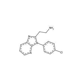 NCCc1nc2cccnc2n1-c1ccc(Cl)cc1